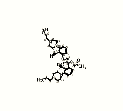 C=CCN1CCN(c2cccc(C(OS(C)(=O)=O)S(=O)(=O)Oc3cccc(N4CCN(CCOC)CC4)c3C#N)c2C#N)CC1